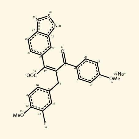 COc1ccc(C(=O)C(Cc2ccc(OC)c(F)c2)=C(C(=O)[O-])c2ccc3nsnc3c2)cc1.[Na+]